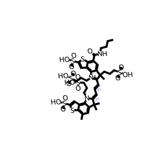 CCCCNC(=O)c1cc2c(c3cc(S(=O)(=O)O)sc13)[N+](CCCS(=O)(=O)O)=C(/C=C/C=C1\N(CCCS(=O)(=O)O)c3c(cc(C)c4sc(S(=O)(=O)O)cc34)C1(C)C)C2(C)CCCS(=O)(=O)O